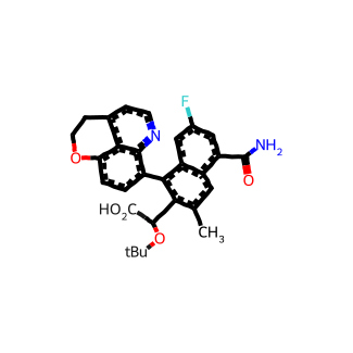 Cc1cc2c(C(N)=O)cc(F)cc2c(-c2ccc3c4c(ccnc24)CCO3)c1C(OC(C)(C)C)C(=O)O